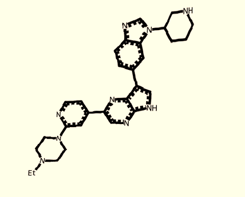 CCN1CCN(c2cc(-c3cnc4[nH]cc(-c5ccc6ncn(C7CCCNC7)c6c5)c4n3)ccn2)CC1